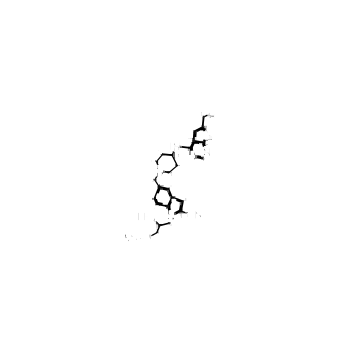 COCC(O)Cn1c(C#N)cc2cc(CN3CCC(Nc4ncnc5sc(CC(F)(F)F)cc45)CC3)ccc21